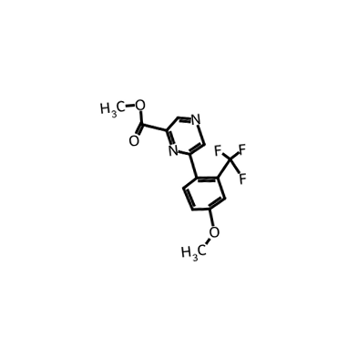 COC(=O)c1cncc(-c2ccc(OC)cc2C(F)(F)F)n1